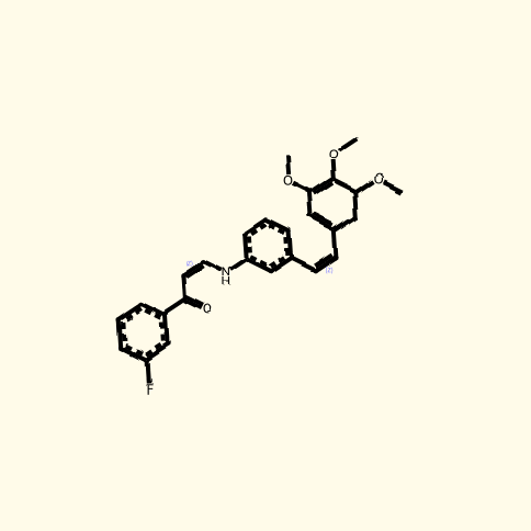 COC1=C(OC)C(OC)CC(/C=C\c2cccc(N/C=C\C(=O)c3cccc(F)c3)c2)=C1